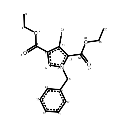 CCOC(=O)c1nn(Cc2ccccc2)c(C(=O)OCC)c1I